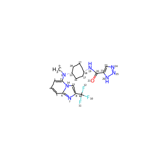 CN(c1cccc2nc(C(F)(F)F)cn12)[C@H]1CC[C@@H](NC(=O)c2cnn[nH]2)CC1